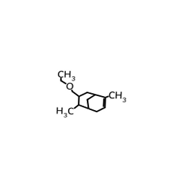 CCOCC1CC2CC(CC=C2C)C1C